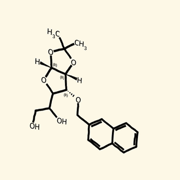 CC1(C)O[C@H]2OC(C(O)CO)[C@@H](OCc3ccc4ccccc4c3)[C@H]2O1